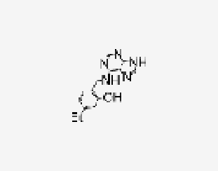 CCc1ccc(CNc2ncnc3[nH]cnc23)c(O)c1